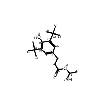 CC(S)OC(=O)CCc1cc(C(C)(C)C)c(O)c(C(C)(C)C)c1